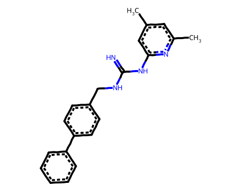 Cc1cc(C)nc(NC(=N)NCc2ccc(-c3ccccc3)cc2)c1